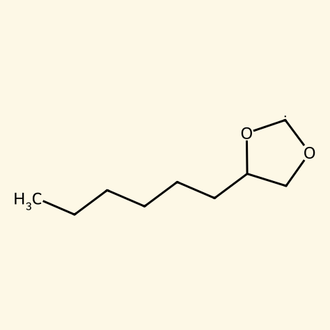 CCCCCCC1CO[CH]O1